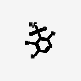 CS(=O)(=O)c1c(Br)ncc(Br)c1Br